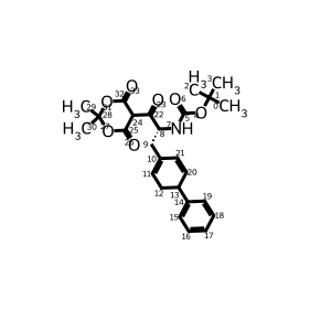 CC(C)(C)OC(=O)N[C@H](CC1=CCC(c2ccccc2)C=C1)C(=O)C1C(=O)OC(C)(C)OC1=O